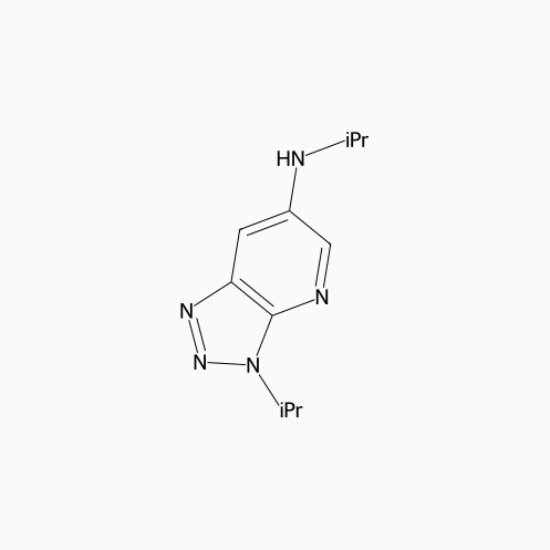 CC(C)Nc1cnc2c(c1)nnn2C(C)C